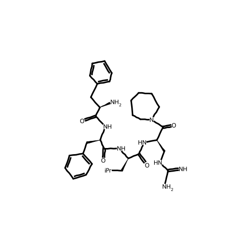 CC(C)C[C@@H](NC(=O)[C@@H](Cc1ccccc1)NC(=O)[C@H](N)Cc1ccccc1)C(=O)N[C@H](CNC(=N)N)C(=O)N1CCCCCC1